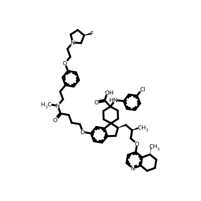 C[C@@H](COc1ccnc2c1[C@H](C)CCC2)C[C@H]1Cc2ccc(OCCCC(=O)N(C)CCc3cccc(OCCN4CC[C@@H](F)C4)c3)cc2C12CCC(Nc1cccc(Cl)c1)(C(=O)O)CC2